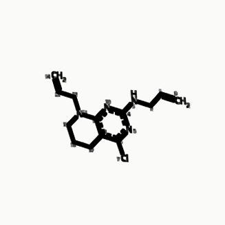 C=CCNc1nc(Cl)c2c(n1)N(CC=C)CCC2